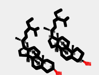 CCC(CC[C@@H](C)[C@H]1CC[C@H]2[C@@H]3CC=C4C[C@@H](O)CC[C@]4(C)[C@H]3CC[C@]12C)C(C)C.CC[C@H](CC[C@@H](C)[C@H]1CC[C@H]2[C@@H]3CC=C4C[C@@H](O)CC[C@]4(C)[C@H]3CC[C@]12C)C(C)C